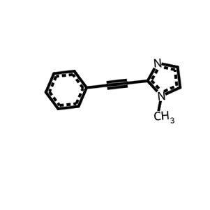 Cn1ccnc1C#Cc1ccccc1